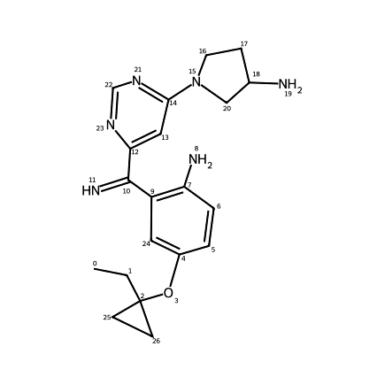 CCC1(Oc2ccc(N)c(C(=N)c3cc(N4CCC(N)C4)ncn3)c2)CC1